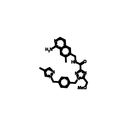 COCc1nc(C(=O)NCc2cc3ccnc(N)c3cc2C)nn1Cc1ccc(Cn2cc(C)cn2)cc1